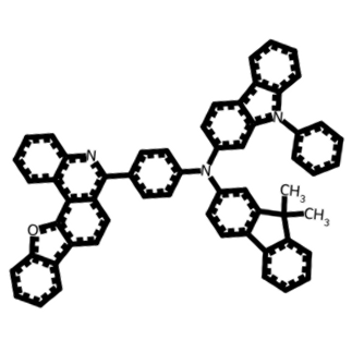 CC1(C)c2ccccc2-c2ccc(N(c3ccc(-c4nc5ccccc5c5c4ccc4c6ccccc6oc45)cc3)c3ccc4c5ccccc5n(-c5ccccc5)c4c3)cc21